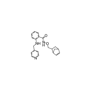 O=C(NOCC1CC2C=CC1C2)c1ccccc1NCc1ccncc1